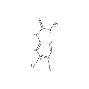 CCCOC(=O)Oc1ccc(F)c(C(F)(F)F)c1